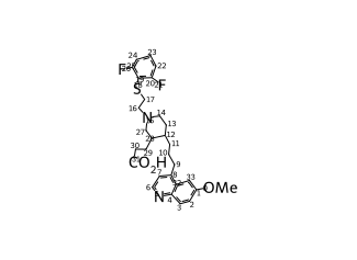 COc1ccc2nccc(CCCC3CCN(CCSc4c(F)cccc4F)CC3CCC(=O)O)c2c1